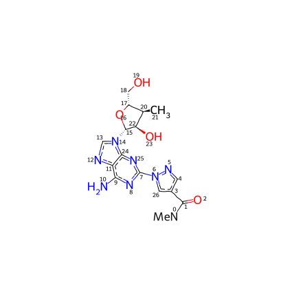 CNC(=O)c1cnn(-c2nc(N)c3ncn([C@@H]4O[C@H](CO)[C@@H](C)[C@H]4O)c3n2)c1